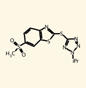 CC(C)n1nnc(Sc2nc3ccc(S(C)(=O)=O)cc3s2)n1